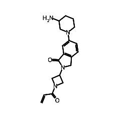 C=CC(=O)N1CC(N2Cc3ccc(N4CCCC(N)C4)cc3C2=O)C1